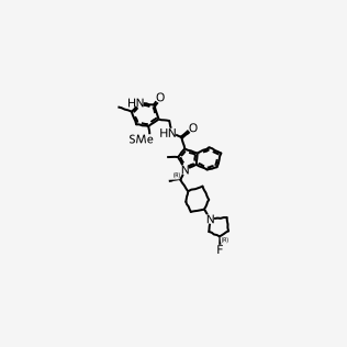 CSc1cc(C)[nH]c(=O)c1CNC(=O)c1c(C)n([C@H](C)C2CCC(N3CC[C@@H](F)C3)CC2)c2ccccc12